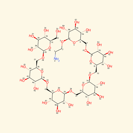 NCCO[C@@H]1O[C@H](CO[C@@H]2O[C@H](CO[C@@H]3O[C@H](CO[C@@H]4O[C@H](CO[C@@H]5O[C@H](CO[C@@H]6O[C@H](CO)[C@@H](O)[C@H](O)[C@H]6O)[C@@H](O)[C@H](O)[C@H]5O)[C@@H](O)[C@H](O)[C@H]4O)[C@@H](O)[C@H](O)[C@H]3O)[C@@H](O)[C@H](O)[C@H]2O)[C@@H](O)[C@H](O)[C@H]1O